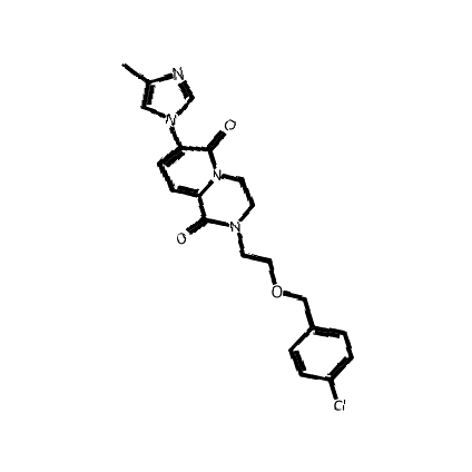 Cc1cn(-c2ccc3n(c2=O)CCN(CCOCc2ccc(Cl)cc2)C3=O)cn1